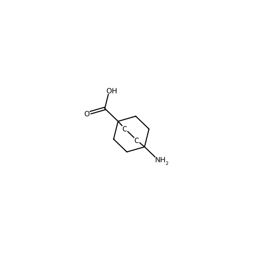 NC12CCC(C(=O)O)(CC1)CC2